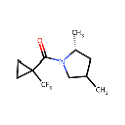 CC1C[C@@H](C)N(C(=O)C2(C(F)(F)F)CC2)C1